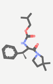 CC(C)COC(=O)NC(C(=O)N1CCC(C)(C)C1)[C@H](C)c1ccccc1